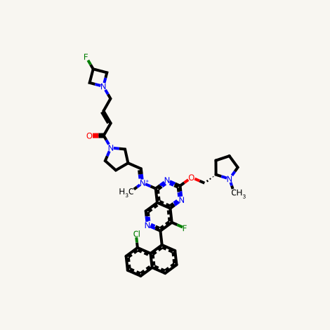 CN1CCC[C@H]1COc1nc(/[N+](C)=C/C2CCN(C(=O)/C=C/CN3CC(F)C3)C2)c2cnc(-c3cccc4cccc(Cl)c34)c(F)c2n1